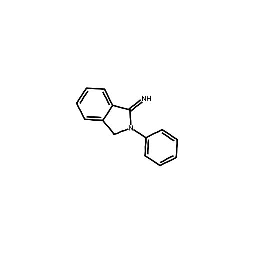 N=C1c2ccccc2CN1c1ccccc1